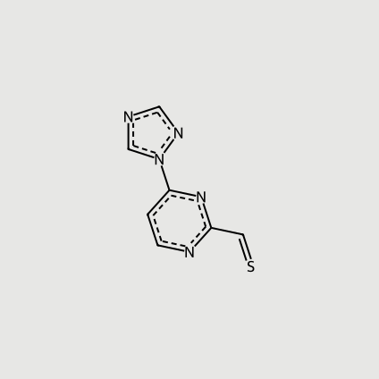 S=Cc1nccc(-n2cncn2)n1